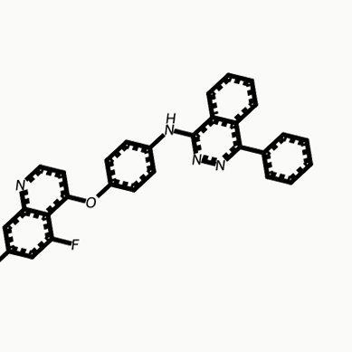 Fc1cc(F)c2c(Oc3ccc(Nc4nnc(-c5ccccc5)c5ccccc45)cc3)ccnc2c1